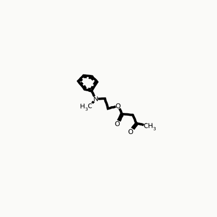 CC(=O)CC(=O)OCCN(C)c1ccccc1